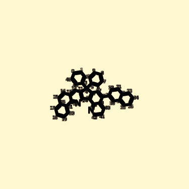 c1ccc(C2(c3ccccc3)c3cc4ccc5ccccc5c4nc3-c3c2cc(-c2ccc4ccccc4c2)c2cccnc32)cc1